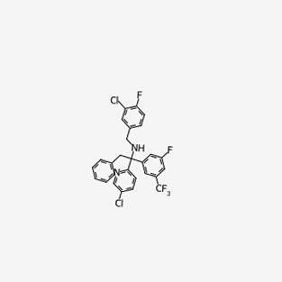 Fc1cc(C(F)(F)F)cc(C(Cc2ccccc2)(NCc2ccc(F)c(Cl)c2)c2ccc(Cl)cn2)c1